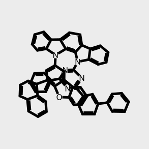 c1ccc(-c2cccc(-c3nc(-c4ccccc4)nc(-n4c5ccccc5c5ccc6c7ccccc7n(-c7cc(-c8cccc9ccccc89)c8oc9ccccc9c8c7)c6c54)n3)c2)cc1